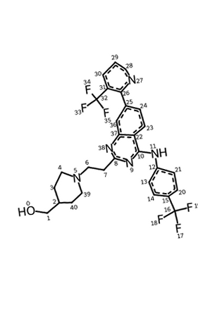 OCC1CCN(CCc2nc(Nc3ccc(C(F)(F)F)cc3)c3ccc(-c4ncccc4C(F)(F)F)cc3n2)CC1